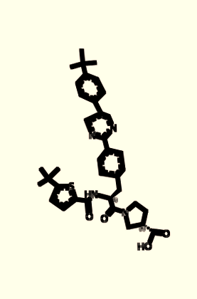 CC(C)(C)c1ccc(-c2cnc(-c3ccc(C[C@H](NC(=O)c4ccc(C(C)(C)C)s4)C(=O)N4CC[C@H](C(=O)O)C4)cc3)nc2)cc1